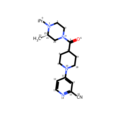 CC(C)N1CCN(C(=O)C2CCN(c3ccnc(C#N)c3)CC2)C[C@@H]1C